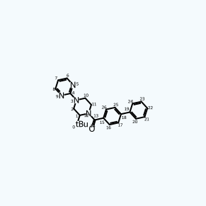 CC(C)(C)C1CN(c2ncccn2)CCN1C(=O)c1ccc(-c2ccccc2)cc1